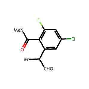 CNC(=O)c1c(F)cc(Cl)cc1C(C=O)C(C)C